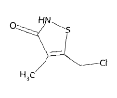 Cc1c(CCl)s[nH]c1=O